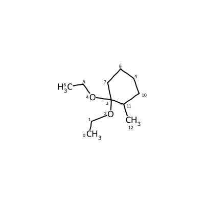 CCOC1(OCC)CCCC[C]1C